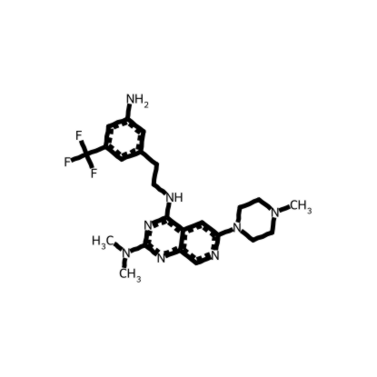 CN1CCN(c2cc3c(NCCc4cc(N)cc(C(F)(F)F)c4)nc(N(C)C)nc3cn2)CC1